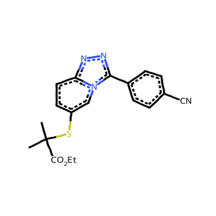 CCOC(=O)C(C)(C)Sc1ccc2nnc(-c3ccc(C#N)cc3)n2c1